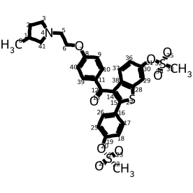 CC1CCN(CCOc2ccc(C(=O)c3c(-c4ccc(OS(C)(=O)=O)cc4)sc4cc(OS(C)(=O)=O)ccc34)cc2)C1